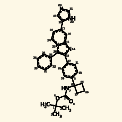 CC(C)(C)OC(=O)NC1(c2ccc(-c3nc4cc(-c5cnc[nH]5)ccn4c3-c3ccccc3)cc2)CCC1